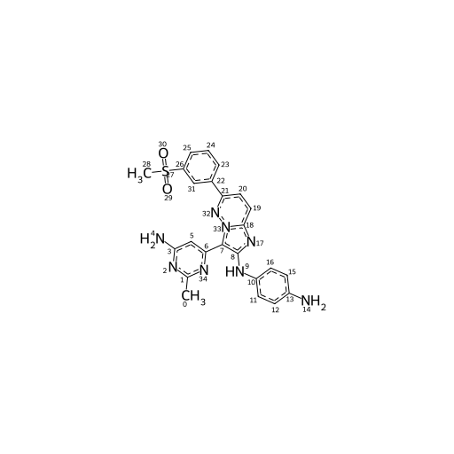 Cc1nc(N)cc(-c2c(Nc3ccc(N)cc3)nc3ccc(-c4cccc(S(C)(=O)=O)c4)nn23)n1